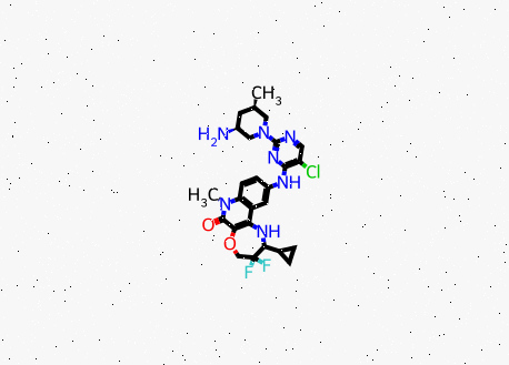 C[C@@H]1C[C@H](N)CN(c2ncc(Cl)c(Nc3ccc4c(c3)c3c(c(=O)n4C)OCC(F)(F)C(C4CC4)N3)n2)C1